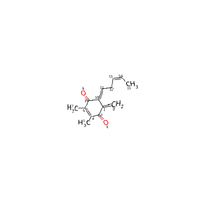 C=C1C(=O)C(C)=C(C)C(=O)/C1=C/C/C=C\C